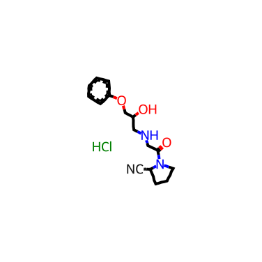 Cl.N#CC1CCCN1C(=O)CNCC(O)COc1ccccc1